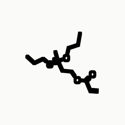 C=CC(=O)OCC[Si](C)(OCCC)OCCC